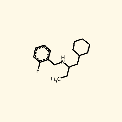 CCC(CC1CCCCC1)NCc1ccccc1F